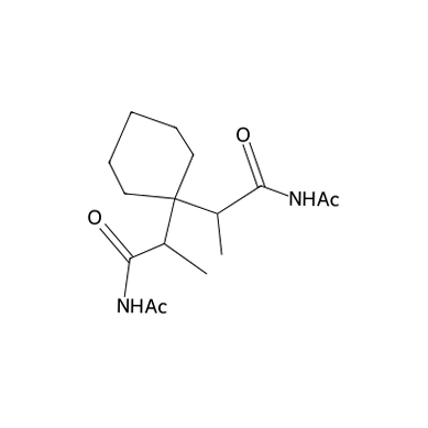 CC(=O)NC(=O)C(C)C1(C(C)C(=O)NC(C)=O)CCCCC1